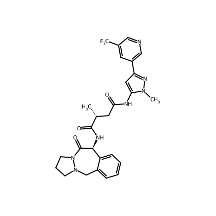 C[C@H](CC(=O)Nc1cc(-c2cncc(C(F)(F)F)c2)nn1C)C(=O)N[C@@H]1C(=O)N2CCCN2Cc2ccccc21